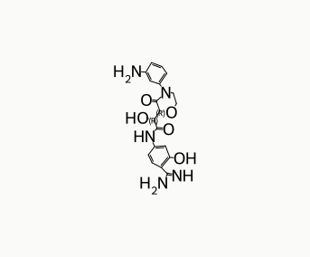 N=C(N)c1ccc(NC(=O)[C@H](O)[C@H]2OCCN(c3cccc(N)c3)C2=O)cc1O